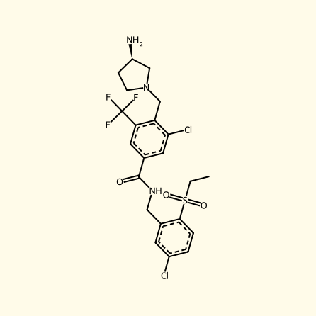 CCS(=O)(=O)c1ccc(Cl)cc1CNC(=O)c1cc(Cl)c(CN2CC[C@@H](N)C2)c(C(F)(F)F)c1